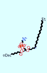 CCC=CCC=CCC=CCC=CCC=CC/C=C\CCC(=O)O[C@H](COC(=O)CCCCCCCCCCCCCCC)COP(=O)([O-])OCC[N+](C)(C)C